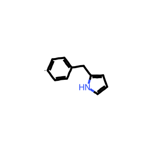 [c]1ccc(Cc2ccc[nH]2)cc1